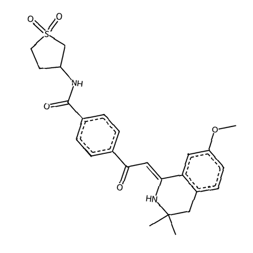 COc1ccc2c(c1)/C(=C/C(=O)c1ccc(C(=O)NC3CCS(=O)(=O)C3)cc1)NC(C)(C)C2